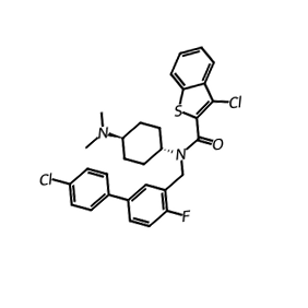 CN(C)[C@H]1CC[C@H](N(Cc2cc(-c3ccc(Cl)cc3)ccc2F)C(=O)c2sc3ccccc3c2Cl)CC1